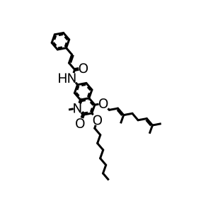 CCCCCCCCOc1c(OC/C=C(\C)CCC=C(C)C)c2ccc(NC(=O)C=Cc3ccccc3)cc2n(C)c1=O